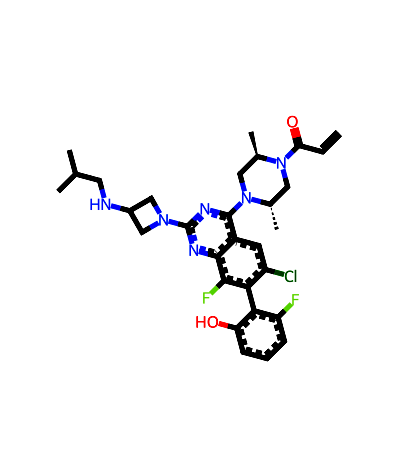 C=CC(=O)N1C[C@H](C)N(c2nc(N3CC(NCC(C)C)C3)nc3c(F)c(-c4c(O)cccc4F)c(Cl)cc23)C[C@H]1C